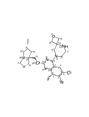 Fc1c(Br)c(Cl)cc2c(N3CCNC4(COC4)C3)nc(OC[C@@]34CCCN3C[C@H](F)C4)nc12